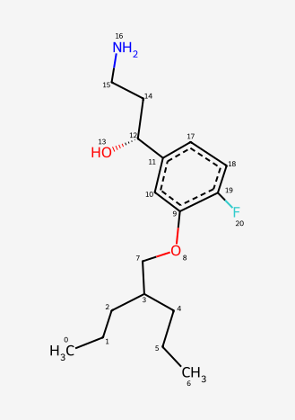 CCCC(CCC)COc1cc([C@H](O)CCN)ccc1F